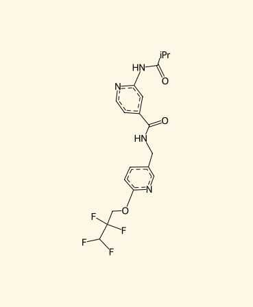 CC(C)C(=O)Nc1cc(C(=O)NCc2ccc(OCC(F)(F)C(F)F)nc2)ccn1